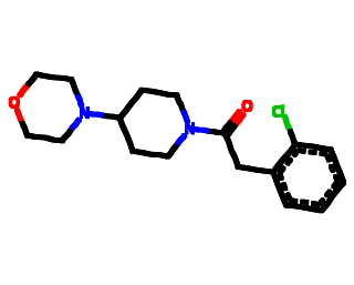 O=C(Cc1ccccc1Cl)N1CCC(N2CCOCC2)CC1